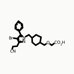 N#CCCc1nn(CC2CCC(COCC(=O)O)CC2)c(-c2ccccc2)c1Br